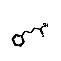 S=C(S)CCCc1ccccc1